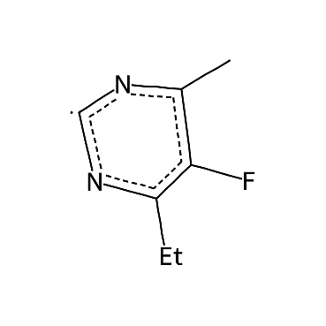 CCc1n[c]nc(C)c1F